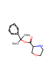 COC(OC)(OC(=O)C1COCCN1)c1ccccc1